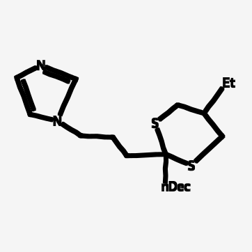 CCCCCCCCCCC1(CCCn2ccnc2)SCC(CC)CS1